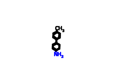 Cc1ccc(C2=CC=C(N)CC2)cc1